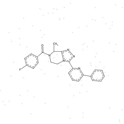 CC1c2nnc(-c3cccc(-c4ccccc4)n3)n2CCN1C(=O)c1ccc(F)cc1